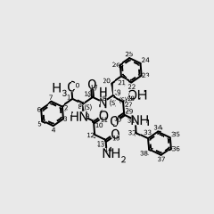 CC(c1ccccc1)[C@H](NC(=O)[CH]C(N)=O)C(=O)N[C@@H](Cc1ccccc1)[C@H](O)C(=O)NCc1ccccc1